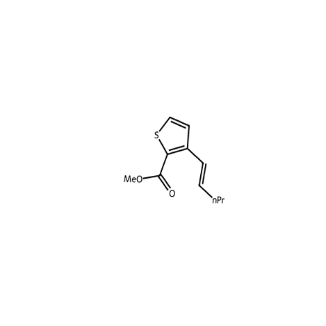 CCCC=Cc1ccsc1C(=O)OC